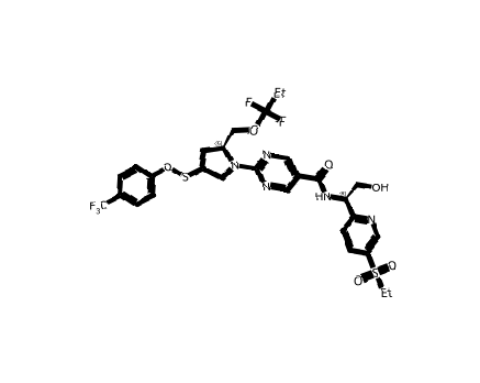 CCC(F)(F)OC[C@@H]1CC(SOc2ccc(C(F)(F)F)cc2)CN1c1ncc(C(=O)N[C@@H](CO)c2ccc(S(=O)(=O)CC)cn2)cn1